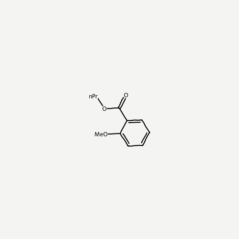 [CH2]CCOC(=O)c1ccccc1OC